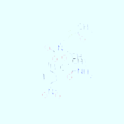 CC(=O)S[C@@H]1CN(C(=O)OCc2ccc([N+](=O)[O-])cc2)[C@@](C)(OC(C)(C)C(N)=O)C1